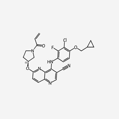 C=CC(=O)N1CC[C@H](Oc2ccc3ncc(C#N)c(Nc4ccc(OCC5CC5)c(Cl)c4F)c3n2)C1